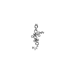 C=Cc1ccc(S(=O)(=O)N2CCN(CC3(NC(=O)OCCC)CCN(c4ccncc4)CC3)C(=O)C2)cc1